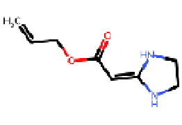 C=CCOC(=O)C=C1NCCN1